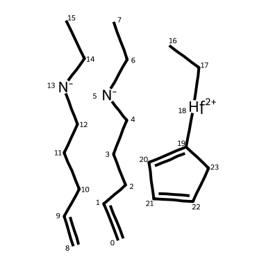 C=CCCC[N-]CC.C=CCCC[N-]CC.C[CH2][Hf+2][C]1=CC=CC1